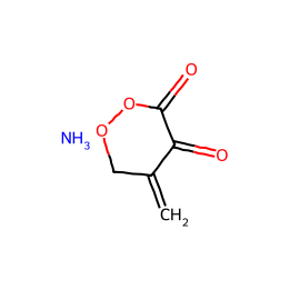 C=C1COOC(=O)C1=O.N